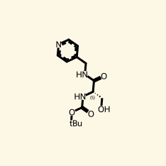 CC(C)(C)OC(=O)N[C@@H](CO)C(=O)NCc1ccncc1